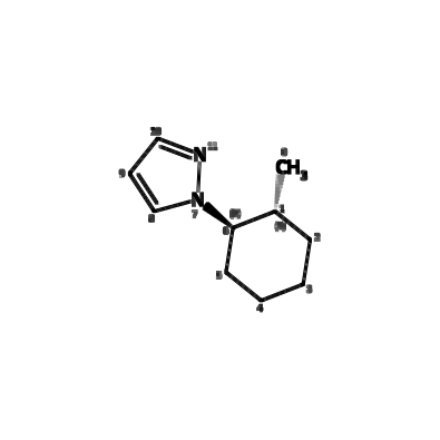 C[C@@H]1CCCC[C@H]1n1cccn1